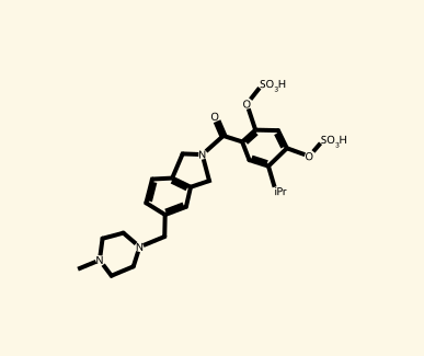 CC(C)c1cc(C(=O)N2Cc3ccc(CN4CCN(C)CC4)cc3C2)c(OS(=O)(=O)O)cc1OS(=O)(=O)O